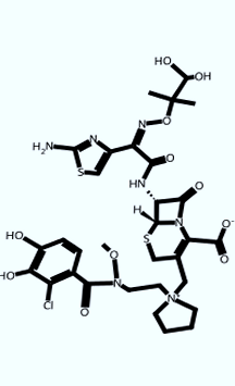 CON(CC[N+]1(CC2=C(C(=O)[O-])N3C(=O)[C@@H](NC(=O)/C(=N\OC(C)(C)C(O)O)c4csc(N)n4)[C@H]3SC2)CCCC1)C(=O)c1ccc(O)c(O)c1Cl